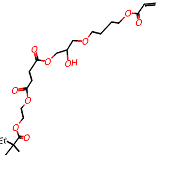 C=CC(=O)OCCCCOCC(O)COC(=O)CCC(=O)OCCOC(=O)C(C)(C)CC